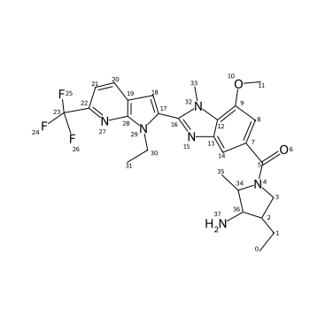 CCC1CN(C(=O)c2cc(OC)c3c(c2)nc(-c2cc4ccc(C(F)(F)F)nc4n2CC)n3C)C(C)C1N